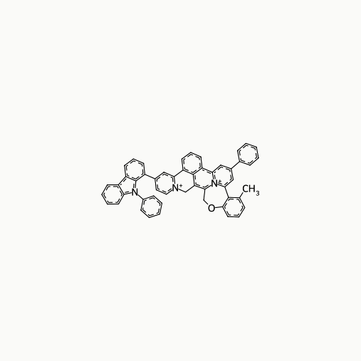 Cc1cccc2c1-c1cc(-c3ccccc3)cc3c4cccc5c4c(c([n+]13)CO2)C[n+]1ccc(-c2cccc3c4ccccc4n(-c4ccccc4)c23)cc1-5